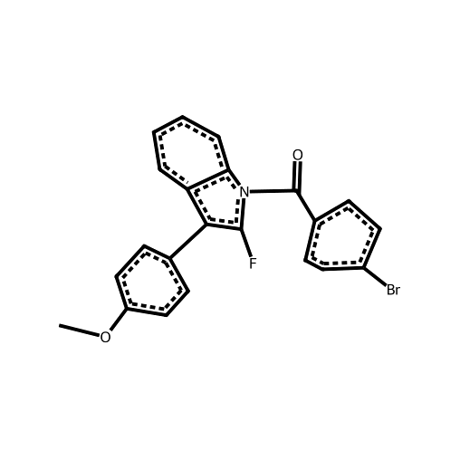 COc1ccc(-c2c(F)n(C(=O)c3ccc(Br)cc3)c3ccccc23)cc1